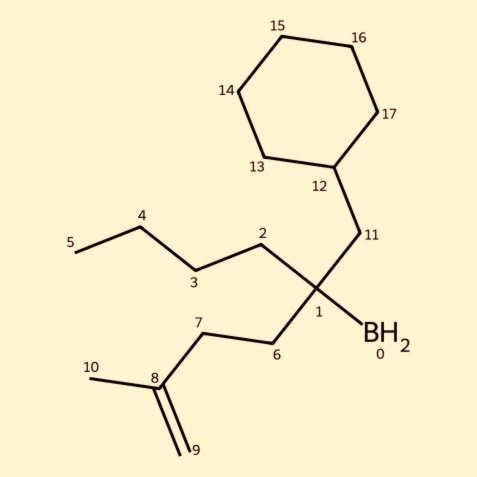 BC(CCCC)(CCC(=C)C)CC1CCCCC1